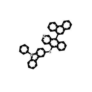 c1ccc(-n2c3ccccc3c3cc(Sc4c5ccccc5c(-c5cc6ccccc6c6ccccc56)c5cnccc45)ccc32)cc1